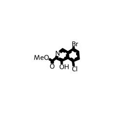 COC(=O)c1ncc2c(Br)ccc(Cl)c2c1O